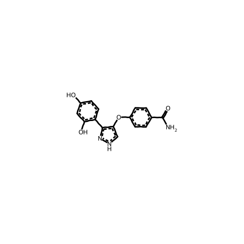 NC(=O)c1ccc(Oc2c[nH]nc2-c2ccc(O)cc2O)cc1